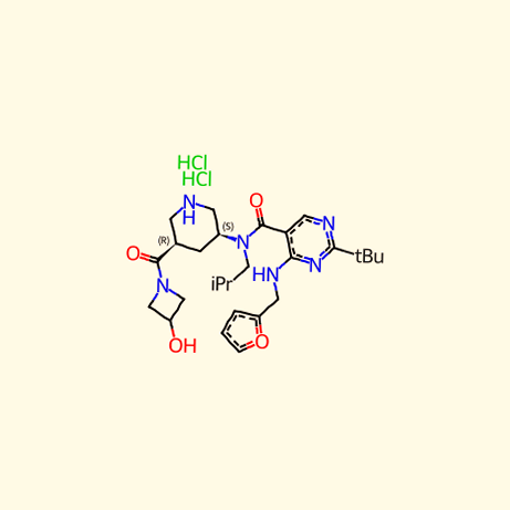 CC(C)CN(C(=O)c1cnc(C(C)(C)C)nc1NCc1ccco1)[C@@H]1CNC[C@H](C(=O)N2CC(O)C2)C1.Cl.Cl